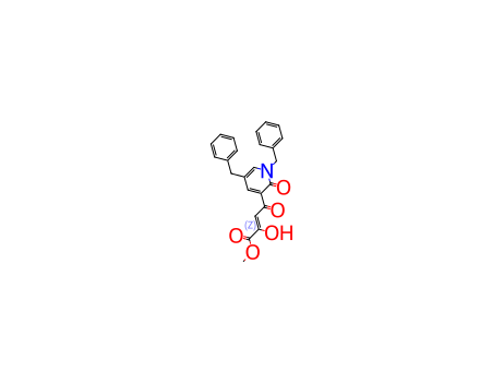 COC(=O)/C(O)=C/C(=O)c1cc(Cc2ccccc2)cn(Cc2ccccc2)c1=O